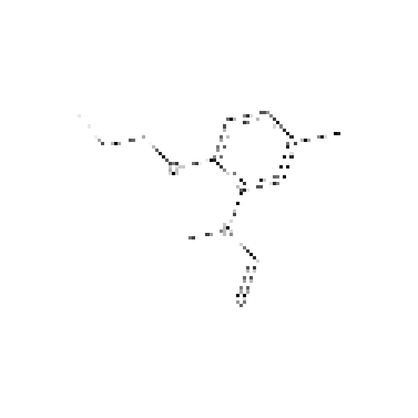 CCCOc1ccc(F)cc1N(C)C=O